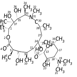 CC[C@H]1OC(=O)[C@H](C)[C@@H](O)[C@H](C)[C@@H](O[C@@H]2O[C@H](C)C[C@H](N(C)C)[C@H]2O)[C@](C)(O)C[C@@H](C)CN(C)[C@H](C)[C@@H](O)[C@]1(C)O